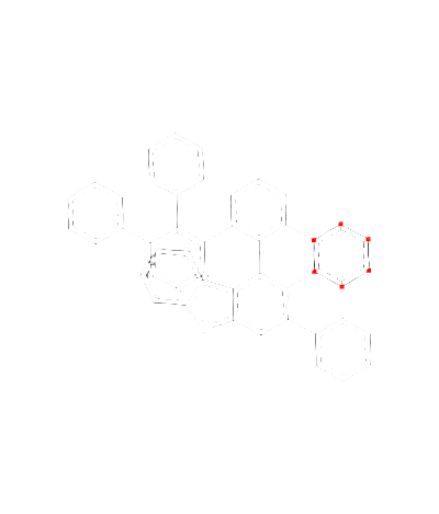 c1ccc(-c2cccc(-c3nnnc(-c4ccccc4)c3-c3ccccc3)c2-c2c(-c3ccccc3)c(-c3ccccc3)cc3[se]c4ccccc4c23)cc1